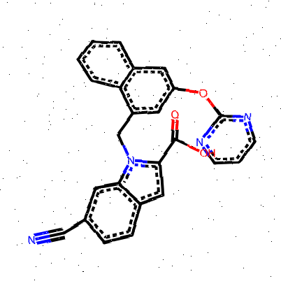 N#Cc1ccc2cc(C(=O)O)n(Cc3cc(Oc4ncccn4)cc4ccccc34)c2c1